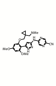 CNCC1(COc2cc(OC)cc(OC)c2-c2cc(Nc3cnc(C#N)cn3)n[nH]2)CC1